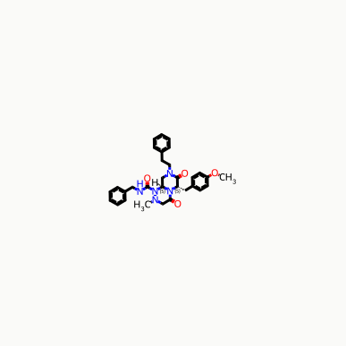 COc1ccc(C[C@H]2C(=O)N(CCc3ccccc3)C[C@H]3N2C(=O)CN(C)N3C(=O)NCc2ccccc2)cc1